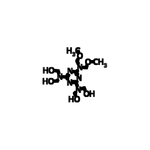 COCN(COC)c1nc(N(CO)CO)nc(N(CO)CO)n1